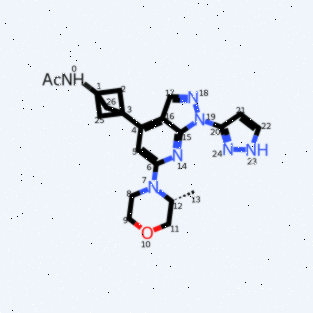 CC(=O)NC12CC(c3cc(N4CCOC[C@H]4C)nc4c3cnn4-c3cc[nH]n3)(C1)C2